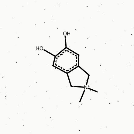 C[N+]1(C)Cc2cc(O)c(O)cc2C1